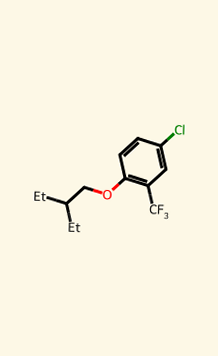 CCC(CC)COc1ccc(Cl)cc1C(F)(F)F